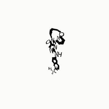 CN1CCc2cc(Nc3ncc4c(=O)n5n(c4n3)-c3cccc(n3)OCCC/C=C\C5)ccc2C1